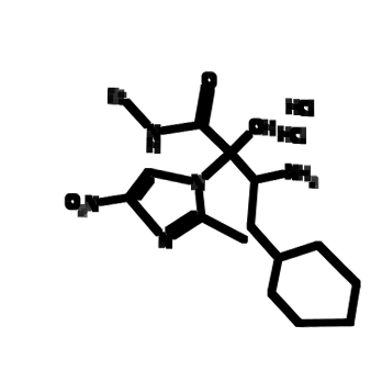 CCNC(=O)C(O)(C(N)CC1CCCCC1)n1cc([N+](=O)[O-])nc1C.Cl.Cl